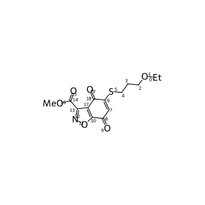 CCOCCCSC1=CC(=O)c2onc(C(=O)OC)c2C1=O